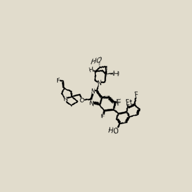 CCc1c(F)ccc2cc(O)cc(-c3c(F)cc4c(N5C[C@@H]6C[C@H](C5)[C@H](O)C6)nc(OCC56CCCN5C/C(=C\F)C6)nc4c3F)c12